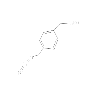 C[C](C)COCc1ccc(CN=[N+]=[N-])cc1